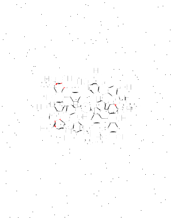 COCCOc1c(C)cc(C2(c3cc(C)c(OCCOC)c(C(c4cc(C)c(O)cc4C)c4cc(C)c(O)cc4C)c3)CCC(c3cc(C)c(OCCOC)c(C(c4cc(C)c(O)cc4C)c4cc(C)c(O)cc4C)c3)(c3cc(C)c(OCCOC)c(C(c4cc(C)c(O)cc4C)c4cc(C)c(O)cc4C)c3)CC2)cc1C(c1cc(C)c(O)cc1C)c1cc(C)c(O)cc1C